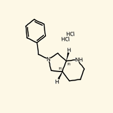 Cl.Cl.c1ccc(CN2C[C@H]3CCCN[C@H]3C2)cc1